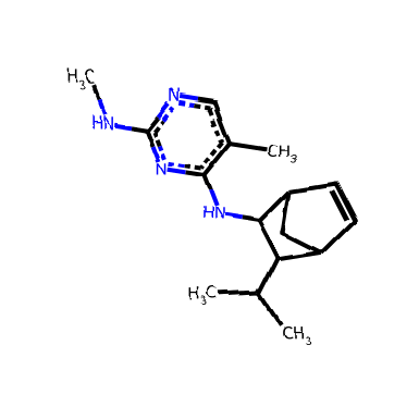 CNc1ncc(C)c(NC2C3C=CC(C3)C2C(C)C)n1